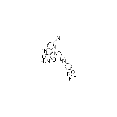 Cn1c(=O)c(C(N)=O)c(N2CCC3(CN(c4ccc(OC(F)(F)F)cc4)C3)C2)c2nc(C#N)ccc21